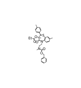 CCC(=O)O[C@@H]1C(=O)N(CCN(C)C(=O)OCc2ccccc2)c2ccc(C)cc2S[C@@H]1c1ccc(C)cc1